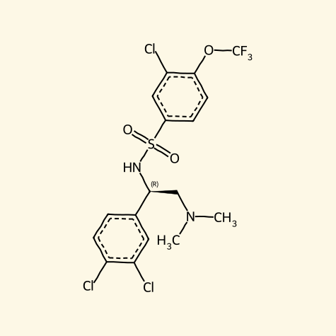 CN(C)C[C@H](NS(=O)(=O)c1ccc(OC(F)(F)F)c(Cl)c1)c1ccc(Cl)c(Cl)c1